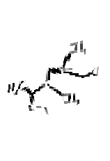 CC(C)N(C)C=[N+](C)CCl